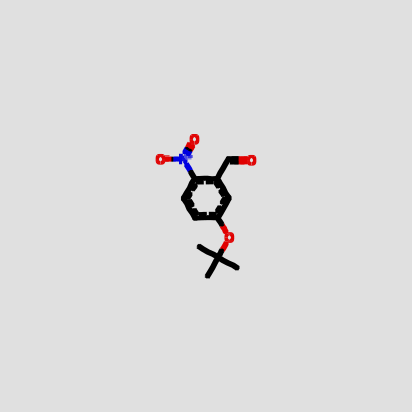 CC(C)(C)Oc1ccc([N+](=O)[O-])c(C=O)c1